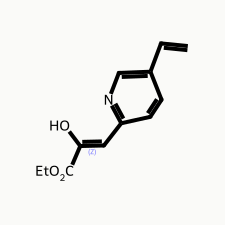 C=Cc1ccc(/C=C(\O)C(=O)OCC)nc1